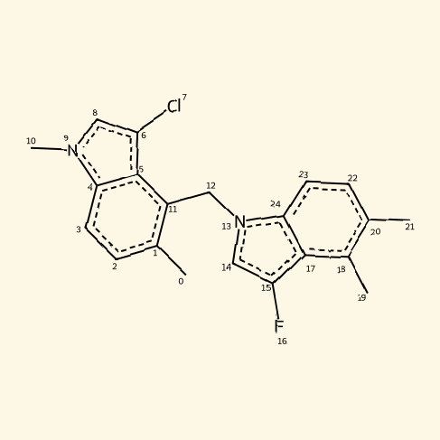 Cc1ccc2c(c(Cl)cn2C)c1Cn1cc(F)c2c(C)c(C)ccc21